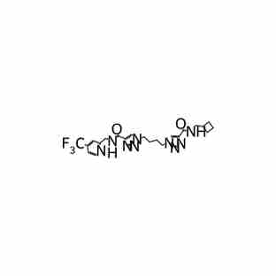 O=C(NCc1cc(C(F)(F)F)ccn1)c1cn(CCCCn2cc(C(=O)NCC3CCC3)nn2)nn1